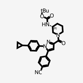 CC(C)(C)OC(=O)N[C@@H]1CCCN(C(=O)c2cc(-c3ccc(C#N)cc3)n(-c3ccc(C4CC4)cc3)n2)C1